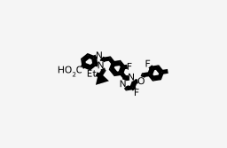 CCC1(Cn2c(Cc3ccc(-c4ncc(F)c(OCc5ccc(C)cc5F)n4)c(F)c3)nc3ccc(C(=O)O)cc32)CC1